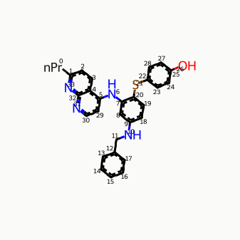 CCCc1ccc2c(Nc3cc(NCc4ccccc4)ccc3Sc3ccc(O)cc3)ccnc2n1